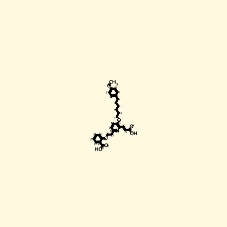 COc1ccc(CCCCCCOc2ccc(CCOc3ccccc3C(=O)O)nc2C=CC(=O)O)cc1